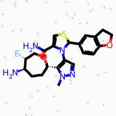 Cn1ncc(N2C(C(N)=O)=CSC2c2ccc3c(c2)CCO3)c1[C@@H]1CC[C@@H](N)[C@H](F)CO1